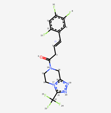 O=C(C/C=C/c1cc(F)c(F)cc1F)N1CCn2c(nnc2C(F)(F)F)C1